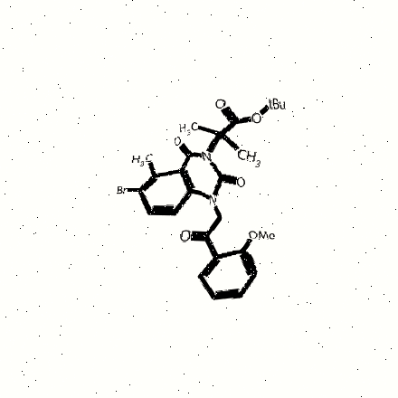 COc1ccccc1C(=O)Cn1c(=O)n(C(C)(C)C(=O)OC(C)(C)C)c(=O)c2c(C)c(Br)ccc21